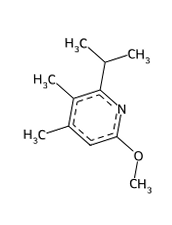 COc1cc(C)c(C)c(C(C)C)n1